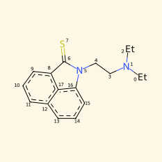 CCN(CC)CCN1C(=S)c2cccc3cccc1c23